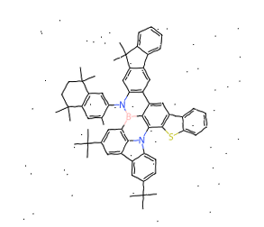 Cc1cc2c(cc1N1B3c4c(cc5c(sc6ccccc65)c4-n4c5ccc(C(C)(C)C)cc5c5cc(C(C)(C)C)cc3c54)-c3cc4c(cc31)C(C)(C)c1ccccc1-4)C(C)(C)CCC2(C)C